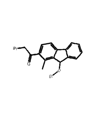 CCOC1c2ccccc2-c2ccc(C(=O)CC(C)C)c(C)c21